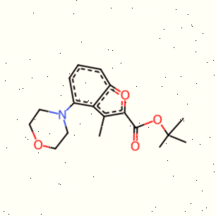 Cc1c(C(=O)OC(C)(C)C)oc2cccc(N3CCOCC3)c12